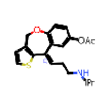 CC(=O)Oc1ccc2c(c1)/C(=C\CCNC(C)C)c1sccc1CO2